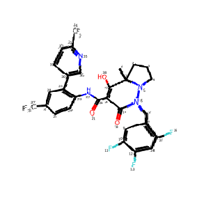 CC12CCCN1N(Cc1cc(F)c(F)cc1F)C(=O)C(C(=O)Nc1ccc(C(F)(F)F)cc1-c1ccc(C(F)(F)F)nc1)=C2O